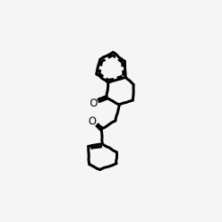 O=C(CC1CCc2ccccc2C1=O)C1=CCCCC1